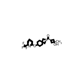 C[C@]1(O)C[C@@H](C(=O)N2CC3(CCC(Oc4cccc(C(F)(F)F)n4)CC3)C2)C1